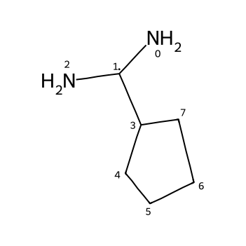 N[C](N)C1CCCC1